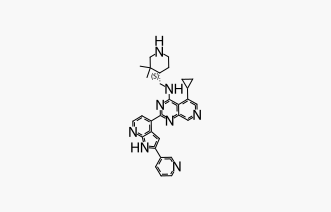 CC1(C)CNCC[C@@H]1CNc1nc(-c2ccnc3[nH]c(-c4cccnc4)cc23)nc2cncc(C3CC3)c12